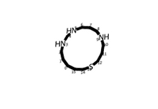 C1CCNCNCCCNCCCSCC1